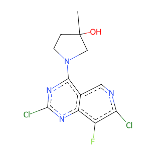 CC1(O)CCN(c2nc(Cl)nc3c(F)c(Cl)ncc23)C1